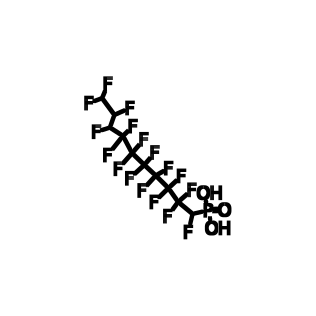 O=P(O)(O)C(F)C(F)(F)C(F)(F)C(F)(F)C(F)(F)C(F)(F)C(F)(F)C(F)C(F)C(F)F